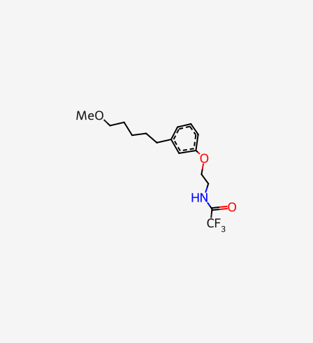 COCCCCCc1cccc(OCCNC(=O)C(F)(F)F)c1